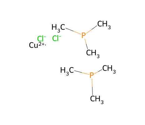 CP(C)C.CP(C)C.[Cl-].[Cl-].[Cu+2]